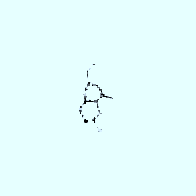 O=c1cc(CCl)sc2ccc(Br)cc12